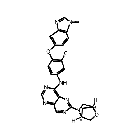 Cn1cnc2cc(Oc3ccc(Nc4ncnc5cnc(N6C[C@H]7C[C@@H]6CO7)nc45)cc3Cl)ccc21